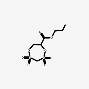 O=C(OCCCl)C1COS(=O)(=O)CS(=O)(=O)O1